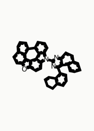 C1=Cc2c(cccc2-c2nc(-n3c4cccc5c4c4c6c(ccc43)oc3ccc4cccc-5c4c36)nc3ccc4ccccc4c23)CC1